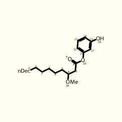 CCCCCCCCCCCCCCCC(CC(=O)Oc1cccc(O)c1)OC